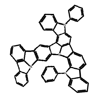 c1ccc(-n2c3ccccc3c3c4c5cc6c7cccc8c9ccccc9n(c6cc5n5c4c(cc32)c2ccc3c4ccccc4n(-c4ccccc4)c3c25)c87)cc1